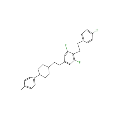 Cc1ccc(C2CCC(CCc3cc(F)c(CCc4ccc(Cl)cc4)c(F)c3)CC2)cc1